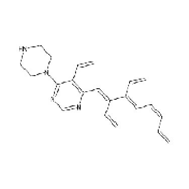 C=C\C=C/C=C(C=C)/C(C=C)=C/c1ncnc(N2CCNCC2)c1C=C